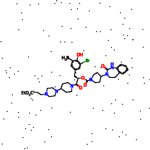 Bc1cc(C[C@@H](OC(=O)N2CCC(N3CCc4ccccc4NC3=O)CC2)C(=O)N2CCC(N3CCN(CCC(=O)OCC)CC3)CC2)cc(Br)c1O